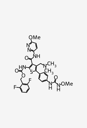 CONC(=O)Nc1ccc(-c2sc(NC(=O)OCc3c(F)cccc3F)c(C(=O)Nc3ccc(OC)nn3)c2CN(C)C)cc1